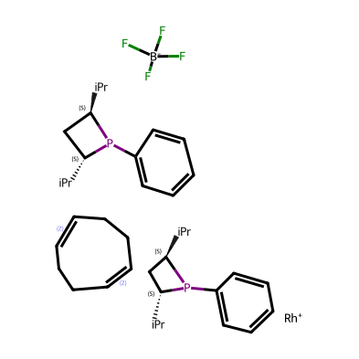 C1=C\CC/C=C\CC/1.CC(C)[C@@H]1C[C@@H](C(C)C)P1c1ccccc1.CC(C)[C@@H]1C[C@@H](C(C)C)P1c1ccccc1.F[B-](F)(F)F.[Rh+]